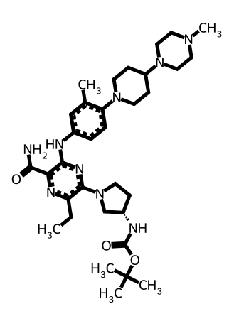 CCc1nc(C(N)=O)c(Nc2ccc(N3CCC(N4CCN(C)CC4)CC3)c(C)c2)nc1N1CC[C@H](NC(=O)OC(C)(C)C)C1